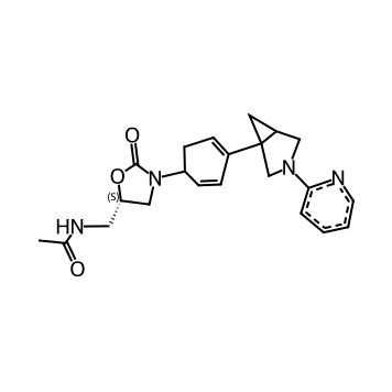 CC(=O)NC[C@H]1CN(C2C=CC(C34CC3CN(c3ccccn3)C4)=CC2)C(=O)O1